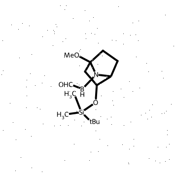 COC12CCC(C(O[Si](C)(C)C(C)(C)C)C1)N2BC=O